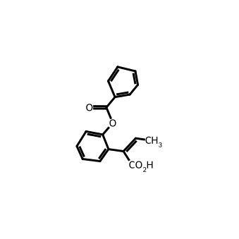 CC=C(C(=O)O)c1ccccc1OC(=O)c1ccccc1